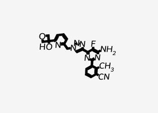 Cc1c(C#N)cccc1-c1nc(N)c(F)c(-c2cn(Cc3cccc(C4(O)COC4)n3)nn2)n1